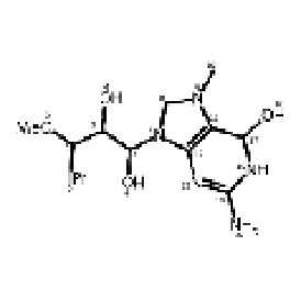 COC(C(C)C)C(O)[C@H](O)N1CN(C)C2=C1N=C(N)NC2O